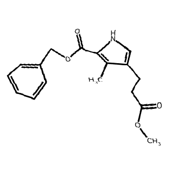 COC(=O)CCc1c[nH]c(C(=O)OCc2ccccc2)c1C